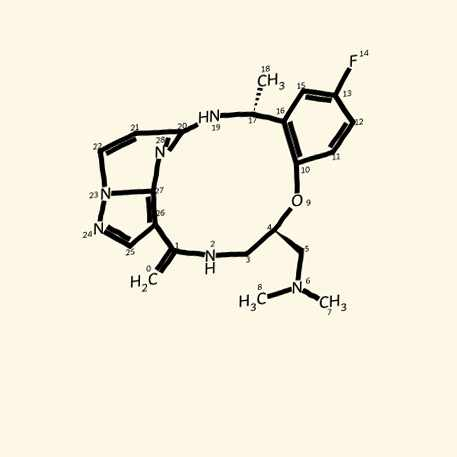 C=C1NC[C@H](CN(C)C)Oc2ccc(F)cc2[C@@H](C)Nc2ccn3ncc1c3n2